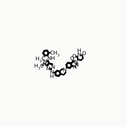 Cc1cccc(C)c1Nc1nn(C)c2nc(Nc3ccc4c(c3)CN(c3ccc5c(=O)n(C6CCC(=O)NC6=O)nnc5c3)CC4)ncc12